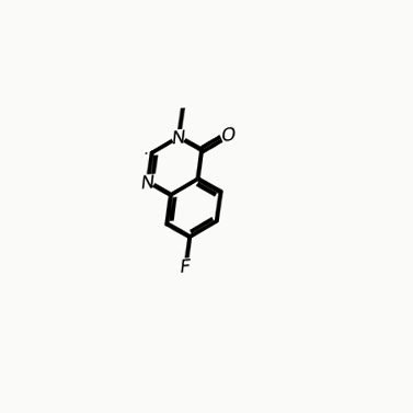 Cn1[c]nc2cc(F)ccc2c1=O